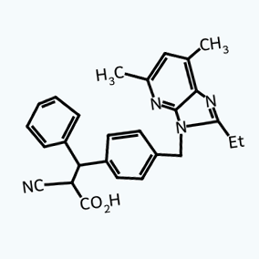 CCc1nc2c(C)cc(C)nc2n1Cc1ccc(C(c2ccccc2)C(C#N)C(=O)O)cc1